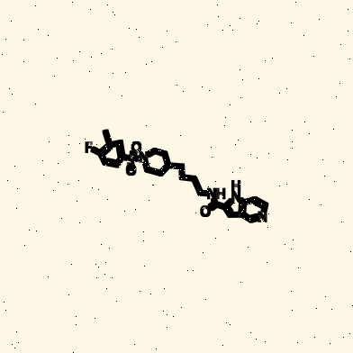 Cc1cc(S(=O)(=O)N2CCC(CCCCNC(=O)c3cc4cnccc4[nH]3)CC2)ccc1F